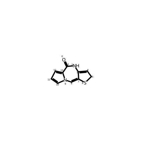 O=C1NC2=CCSC2=Cn2cccc21